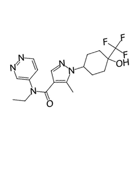 CCN(C(=O)c1cnn(C2CCC(O)(C(F)(F)F)CC2)c1C)c1ccnnc1